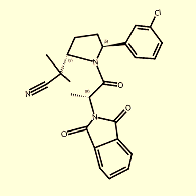 C[C@H](C(=O)N1[C@H](C(C)(C)C#N)CC[C@H]1c1cccc(Cl)c1)N1C(=O)c2ccccc2C1=O